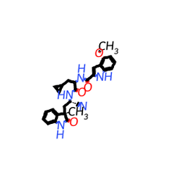 COc1cccc2[nH]c(C(=O)NC(CC3CC3)C(=O)N[C@H](C#N)C[C@@]3(C)C(=O)Nc4ccccc43)cc12